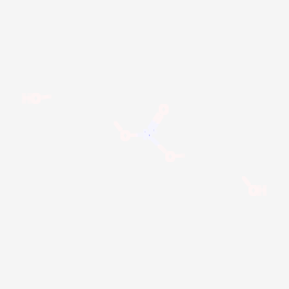 O=[N+](OCCCO)OCCCO